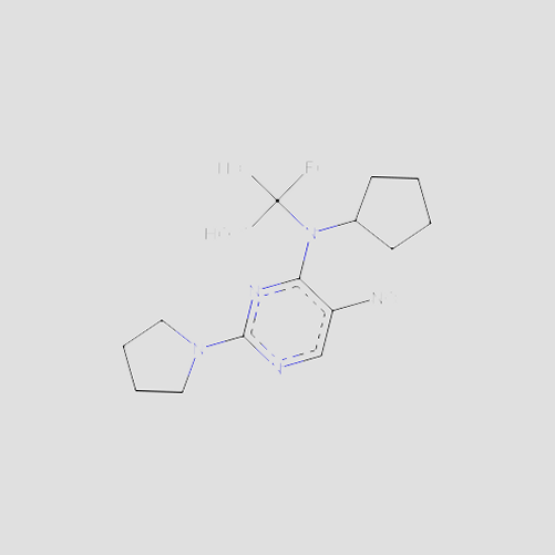 CCC(C)(C(=O)O)N(c1nc(N2CCCC2)ncc1[N+](=O)[O-])C1CCCC1